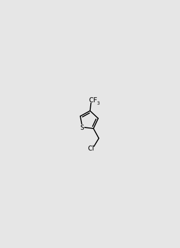 FC(F)(F)c1csc(CCl)c1